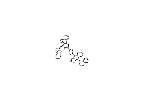 c1ccc2c(-c3c4ccccc4c(-c4ccc(-c5cc6c7ccccc7sc6c6cc7sc8ccccc8c7cc56)cc4)c4ccccc34)cccc2c1